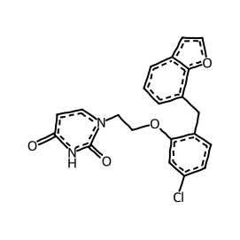 O=c1ccn(CCOc2cc(Cl)ccc2Cc2cccc3ccoc23)c(=O)[nH]1